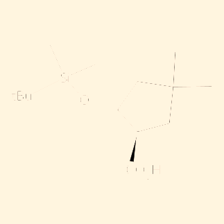 CC1(C)C[C@@H](O[Si](C)(C)C(C)(C)C)[C@H](C(=O)O)C1